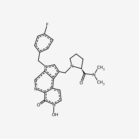 CN(C)C(=O)[C@@H]1CCCN1Cc1cn(Cc2ccc(F)cc2)c2cnc3c(=O)n(O)ccc3c12